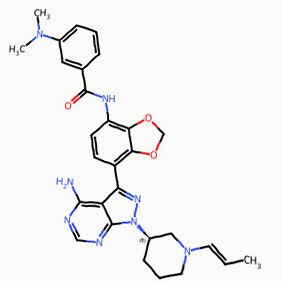 CC=CN1CCC[C@@H](n2nc(-c3ccc(NC(=O)c4cccc(N(C)C)c4)c4c3OCO4)c3c(N)ncnc32)C1